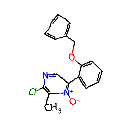 Cc1c(Cl)ncc(-c2ccccc2OCc2ccccc2)[n+]1[O-]